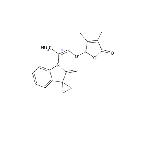 CC1=C(C)C(O/C=C(/C(=O)O)N2C(=O)C3(CC3)c3ccccc32)OC1=O